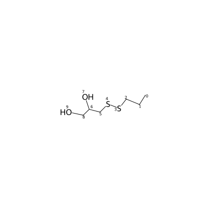 CCCSSCC(O)CO